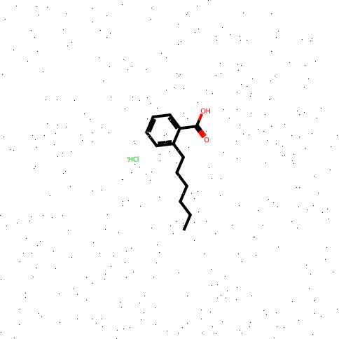 CCCCCCc1ccccc1C(=O)O.Cl